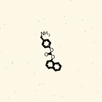 NCc1ccc(OC(=O)Oc2cccc3ccccc23)cc1